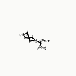 CCCCCC(CCCCC)N1CC2(CNC2)C1